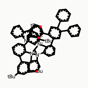 CC(C)(C)c1cc(-c2cccc(-c3cc(C(C)(C)C)cc(C(C)(C)C)c3)c2[N+]23c4ccccc4[N+]24c2cccc5c2[N+]2(c6c(ccc7c8ccccc8n(c67)-c6cccc[n+]62)-c2cc(-c6ccccc6)c(-c6ccccc6)cc2-5)C43)cc(C(C)(C)C)c1